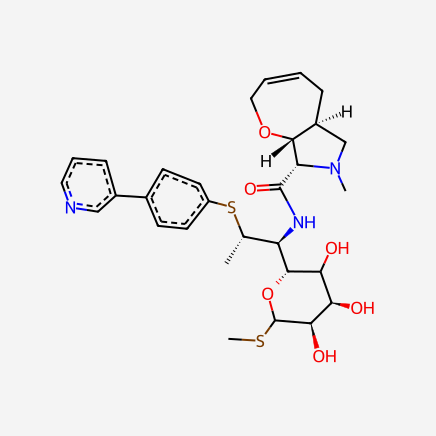 CSC1O[C@H]([C@H](NC(=O)[C@@H]2[C@@H]3OCC=CC[C@H]3CN2C)[C@H](C)Sc2ccc(-c3cccnc3)cc2)C(O)[C@@H](O)[C@H]1O